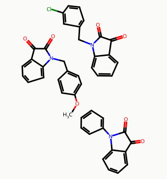 COc1ccc(CN2C(=O)C(=O)c3ccccc32)cc1.O=C1C(=O)N(Cc2cccc(Cl)c2)c2ccccc21.O=C1C(=O)N(c2ccccc2)c2ccccc21